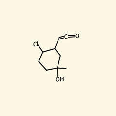 CC1(O)CCC(Cl)C(C=C=O)C1